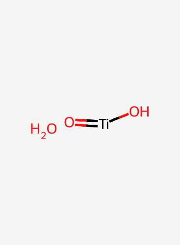 O.[O]=[Ti][OH]